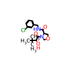 CC(C)(C)C(O)C(=O)N1COCC1C(=O)NCc1cccc(Cl)c1